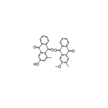 COc1cc2c(cc1C)C(=O)c1ccccc1C2=O.Cc1cc(O)cc2c1C(=O)c1ccccc1C2=O